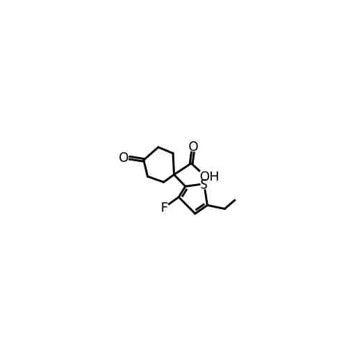 CCc1cc(F)c(C2(C(=O)O)CCC(=O)CC2)s1